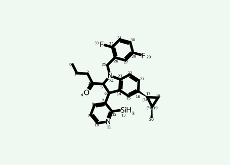 CCCC(=O)C1C(c2cccnc2[SiH3])c2cc([C@H]3C[C@H]3C)ccc2N1Cc1cc(F)ccc1F